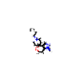 CC(C)CCN1CCC2(CC1)OCCc1c2cnn1C